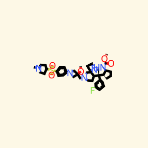 COC(=O)N[C@H]1CCC[C@@H]1[C@](CN1CCC1)(c1cccc(F)c1)C1CCN(CC2(OC)CN(c3ccc(S(=O)(=O)C4CCN(C)CC4)cc3)C2)CC1